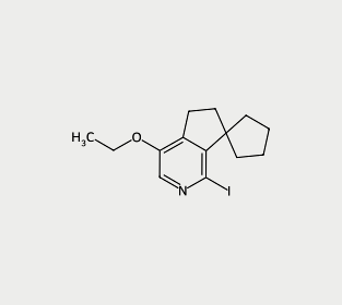 CCOc1cnc(I)c2c1CCC21CCCC1